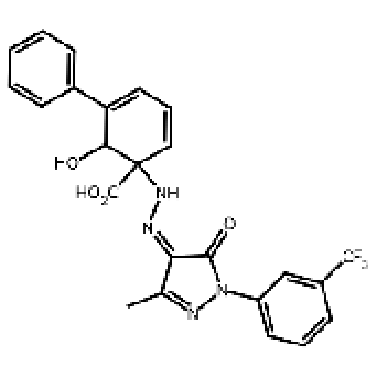 CC1=NN(c2cccc(C(F)(F)F)c2)C(=O)C1=NNC1(C(=O)O)C=CC=C(c2ccccc2)C1O